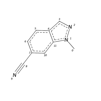 Cn1ncc2ccc(C#N)cc21